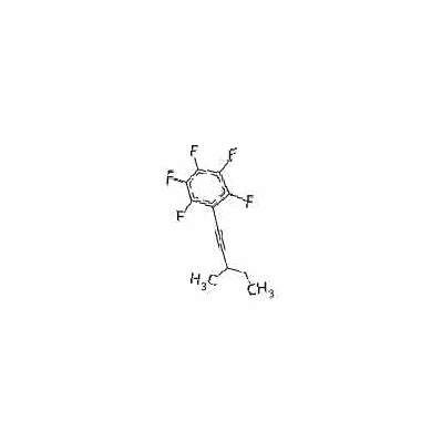 CCC(C)C#Cc1c(F)c(F)c(F)c(F)c1F